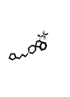 CN([C@H]1CC2(CCN(CCCC3CCCC3)CC2)c2ccccc21)S(C)(=O)=O